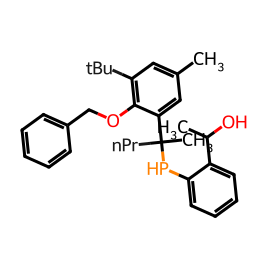 CCCC(C)(Pc1ccccc1C(C)O)c1cc(C)cc(C(C)(C)C)c1OCc1ccccc1